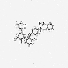 Nc1ncccc1CNc1ccc2c(c1)Cc1cccc(-c3cc(N4CCOCC4)cc(=O)[nH]3)c1O2